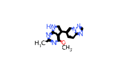 COc1nc(C)nc2[nH]cc(-c3ccc4ncnn4c3)c12